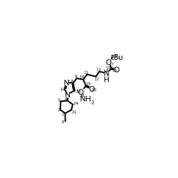 CC1CCC(n2cnc(CC(CCCNC(=O)OC(C)(C)C)C(=O)ON)c2)CC1